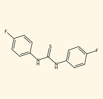 Fc1ccc(NC(=S)Nc2ccc(F)cc2)cc1